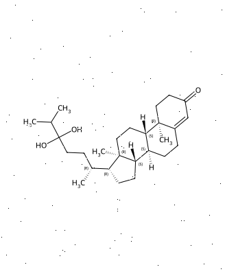 CC(C)C(O)(O)CC[C@@H](C)[C@H]1CC[C@H]2[C@@H]3CCC4=CC(=O)CC[C@]4(C)[C@H]3CC[C@]12C